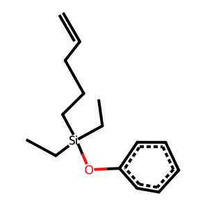 C=CCCC[Si](CC)(CC)Oc1ccccc1